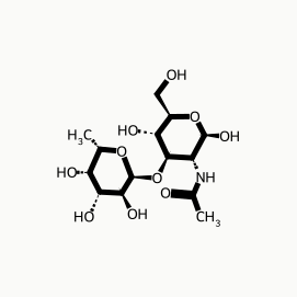 CC(=O)N[C@@H]1[C@@H](O[C@@H]2O[C@@H](C)[C@@H](O)[C@@H](O)[C@@H]2O)[C@H](O)[C@@H](CO)O[C@H]1O